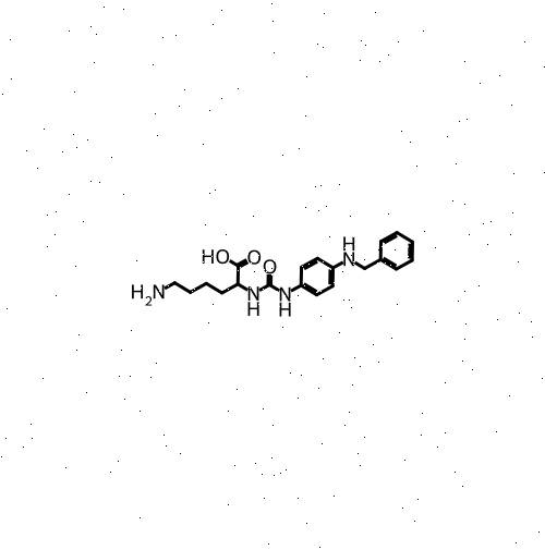 NCCCCC(NC(=O)Nc1ccc(NCc2ccccc2)cc1)C(=O)O